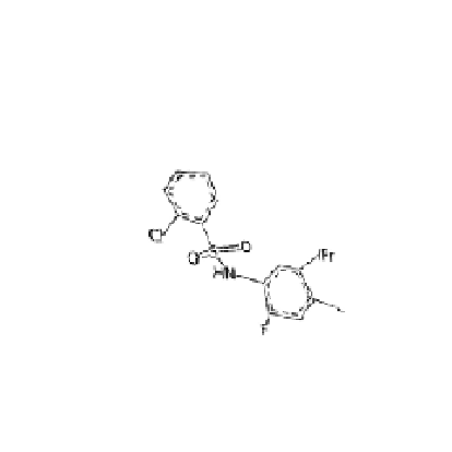 Cc1cc(F)c(NS(=O)(=O)c2ccccc2Cl)cc1C(C)C